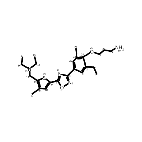 CCc1cc(-c2noc(-c3cc(C)c(CN(CC)CC)s3)n2)cc(C)c1OCCCN